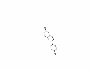 O=C1CCC(C2CCC3CC(=O)CCC3C2)CC1